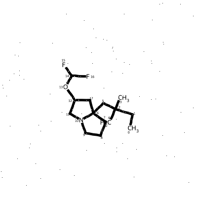 CCC(C)(C)CC12CCCN1CC(OC(F)F)C2